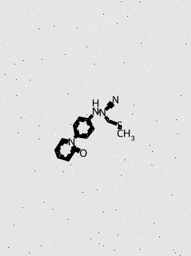 CSCN(C#N)Nc1ccc(-n2ccccc2=O)cc1